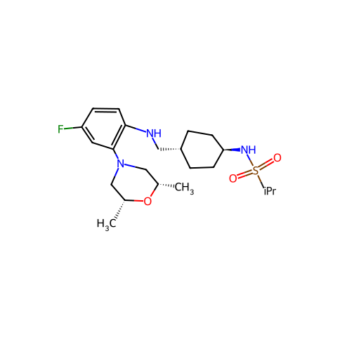 CC(C)S(=O)(=O)N[C@H]1CC[C@H](CNc2ccc(F)cc2N2C[C@@H](C)O[C@@H](C)C2)CC1